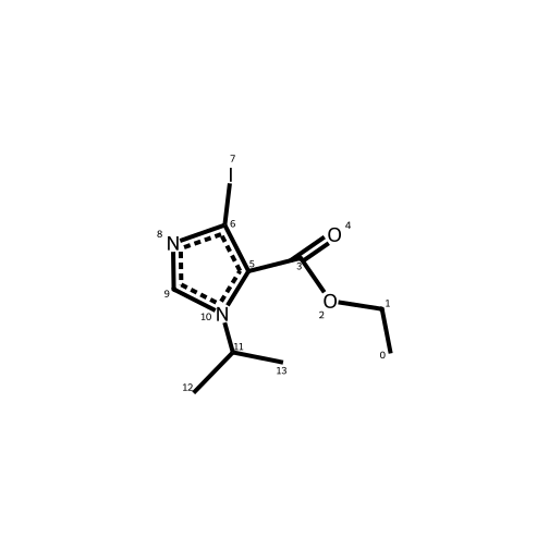 CCOC(=O)c1c(I)ncn1C(C)C